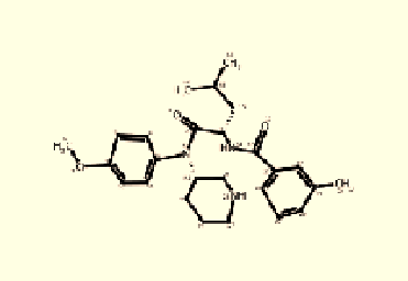 COc1ccc(N(C(=O)[C@H](CC(C)C)NC(=O)c2cccc(C)c2)[C@H]2CCCNC2)cc1